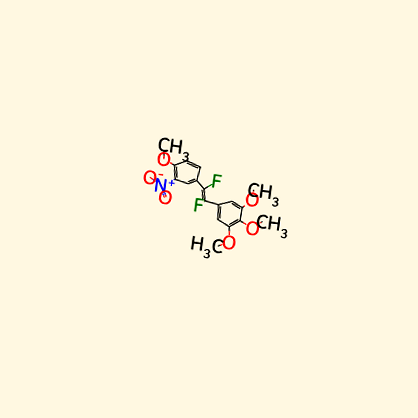 COc1ccc(C(F)=C(F)c2cc(OC)c(OC)c(OC)c2)cc1[N+](=O)[O-]